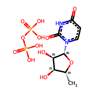 C[C@H]1O[C@@H](n2ccc(=O)[nH]c2=O)[C@H](O)[C@@H]1O.O=P(O)(O)OP(=O)(O)O